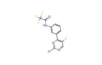 O=C(Nc1cccc(-c2nc(Cl)ncc2F)c1)C(F)(F)F